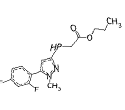 CCCOC(=O)CPc1cc(-c2ccc(F)cc2F)n(C)n1